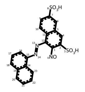 O=Nc1c(S(=O)(=O)O)cc2cc(S(=O)(=O)O)ccc2c1/N=N/c1cccc2ccccc12